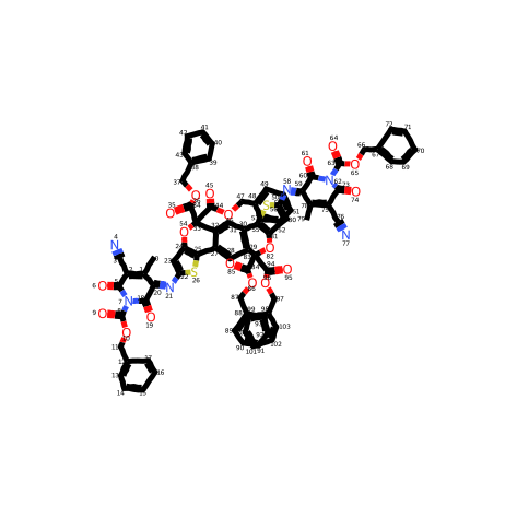 CC1=C(C#N)C(=O)N(C(=O)OCc2ccccc2)C(=O)/C1=N/c1cc2c(s1)-c1cc3c(cc1C(C(=O)OCc1ccccc1)(C(=O)OCc1ccccc1)O2)-c1sc(/N=C2/C(=O)N(C(=O)OCc4ccccc4)C(=O)C(C#N)=C2C)cc1OC3(C(=O)OCc1ccccc1)C(=O)OCc1ccccc1